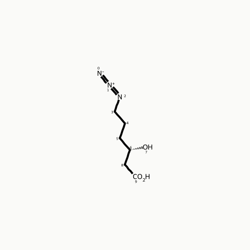 [N-]=[N+]=NCCC[C@H](O)CC(=O)O